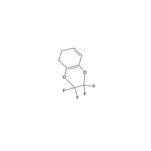 FC1(F)OC2=C(C=CC[CH]2)OC1(F)F